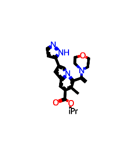 C=C(c1c(C)c(C(=O)OC(C)C)cc2cc(-c3ccn[nH]3)cn12)N1CCOCC1